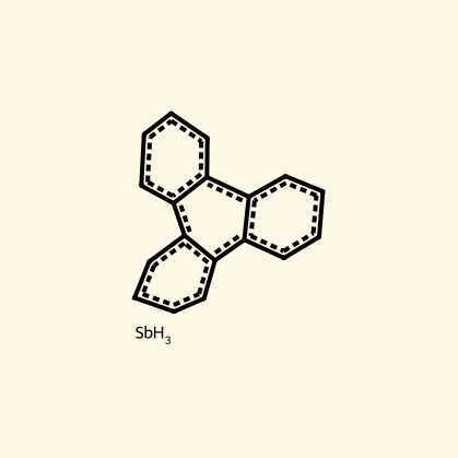 [SbH3].c1ccc2c(c1)c1ccccc1c1ccccc21